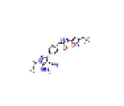 CC(C1CC1)n1nc(-c2ccc(CC(=O)Nc3cc(CC(C)(C)C)no3)cc2)c(C#N)c1N